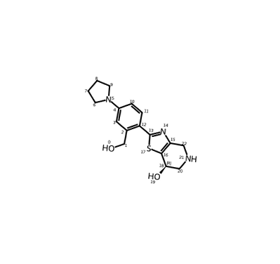 OCc1cc(N2CCCC2)ccc1-c1nc2c(s1)[C@H](O)CNC2